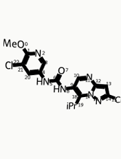 COc1ncc(NC(=O)Nc2cnc3cc(Cl)nn3c2C(C)C)cc1Cl